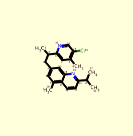 Cc1cc(C(C)Cc2cc(C)c3ccc(C(C)C)nc3c2)ncc1Cl